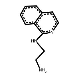 NCCNc1nccc2ccccc12